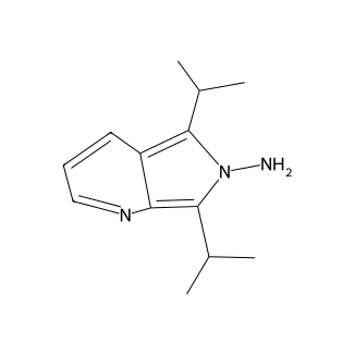 CC(C)c1c2cccnc2c(C(C)C)n1N